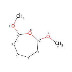 COC1CCCCC(OC)O1